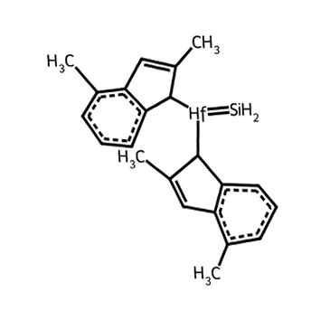 CC1=Cc2c(C)cccc2[CH]1[Hf](=[SiH2])[CH]1C(C)=Cc2c(C)cccc21